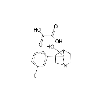 O=C(O)C(=O)O.OC1(c2cccc(Cl)c2)CN2CCC1CC2